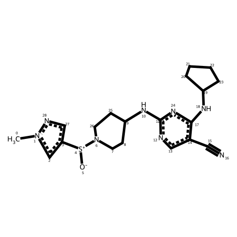 Cn1cc([S+]([O-])N2CCC(Nc3ncc(C#N)c(NC4CCCC4)n3)CC2)cn1